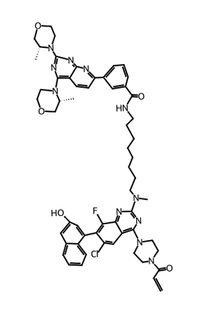 C=CC(=O)N1CCN(c2nc(N(C)CCCCCCCCNC(=O)c3cccc(-c4ccc5c(N6CCOC[C@H]6C)nc(N6CCOC[C@H]6C)nc5n4)c3)nc3c(F)c(-c4cc(O)cc5ccccc45)c(Cl)cc23)CC1